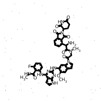 CNC(=O)c1c(F)cccc1Nc1nc(Nc2cc3c(ccn3C(=O)CN(C)C(=O)C(N)c3cccc4c3C(=O)N(C3CCC(=O)NC3=O)C4=O)cc2OC)nc2[nH]ccc12